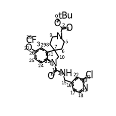 CC(C)(C)OC(=O)N1CCC2(CC1)CN(C(=O)NCc1ccnc(Cl)c1)c1ccc(OC(F)(F)F)cc12